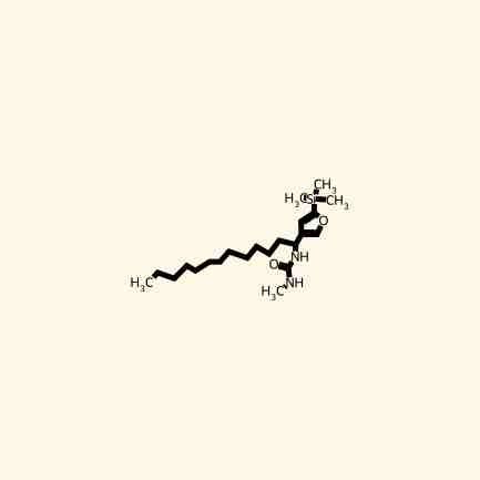 CCCCCCCCCCCCC(NC(=O)NC)c1coc([Si](C)(C)C)c1